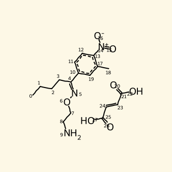 CCCCC(=NOCCN)c1ccc([N+](=O)[O-])c(C)c1.O=C(O)/C=C/C(=O)O